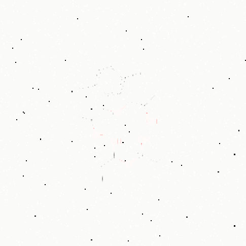 CC(O)COCC(C)O.CCC(O)OC(O)CC.Cc1ccc(C)cc1